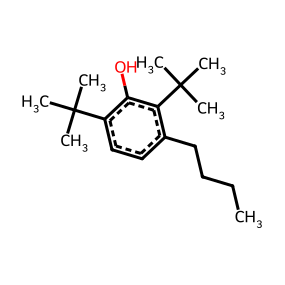 CCCCc1ccc(C(C)(C)C)c(O)c1C(C)(C)C